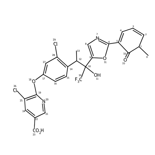 CC1C=CC=C(c2ncc(C(O)(C(C)c3ccc(Oc4ncc(C(=O)O)cc4Cl)cc3Cl)C(F)(F)F)o2)C1=O